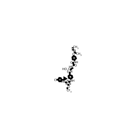 C/N=N\N=C(\C)Oc1ccc(NC(=O)C(=O)NC/C(=N/C(=O)c2ccc(Nc3nc(NC4(c5ccc(Cl)cc5)CC4)nc(OCC(F)(F)F)n3)cc2)C(=O)O)cc1